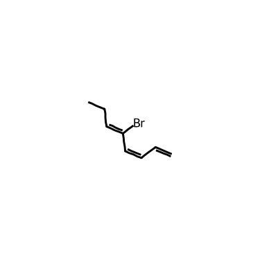 C=C/C=C\C(Br)=C\CC